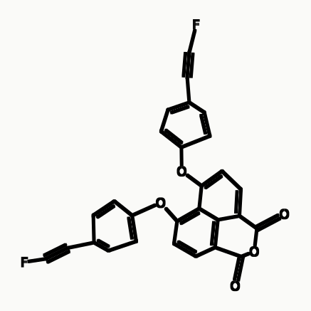 O=C1OC(=O)c2ccc(Oc3ccc(C#CF)cc3)c3c(Oc4ccc(C#CF)cc4)ccc1c23